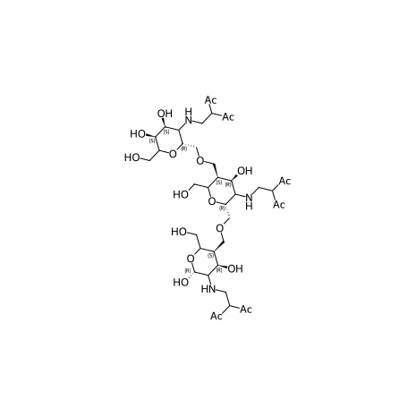 CC(=O)C(CNC1[C@H](COC[C@@H]2C(CO)O[C@@H](COC[C@@H]3C(CO)O[C@@H](O)C(NCC(C(C)=O)C(C)=O)[C@@H]3O)C(NCC(C(C)=O)C(C)=O)[C@@H]2O)OC(CO)[C@@H](O)[C@H]1O)C(C)=O